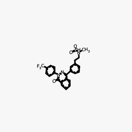 CN(CCc1cccc(-c2nn(-c3ccc(C(F)(F)F)cc3)c(=O)c3ccccc23)c1)[SH](=O)=O